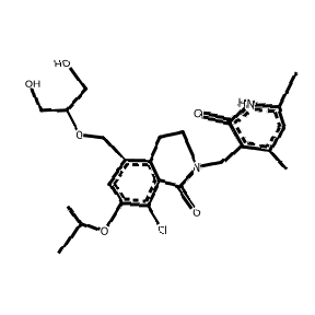 Cc1cc(C)c(CN2CCc3c(COC(CO)CO)cc(OC(C)C)c(Cl)c3C2=O)c(=O)[nH]1